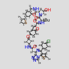 Cc1ccsc1-c1ccc(C(C)NC(=O)[C@@H]2C[C@@H](O)CN2C(=O)[C@@H](NC(=O)c2cc3cc(OC4CC(NC(=O)CC5N=C(c6ccc(Cl)cc6)c6c(sc(C)c6C)-n6c(C)nnc65)C4)ccc3o2)C(C)(C)C)cc1